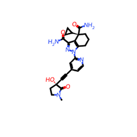 CN1CC[C@@](O)(C#Cc2ccnc(-n3nc(C(N)=O)c4c3CCC[C@]4(C(N)=O)C3CC3)c2)C1=O